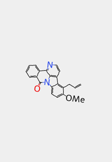 C=CCc1c(OC)ccc2c1c1ccnc3c4ccccc4c(=O)n2c13